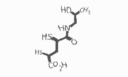 CC(O)CNC(=O)C(S)CC(S)C(=O)O